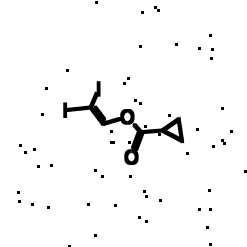 O=C(OC=C(I)I)C1CC1